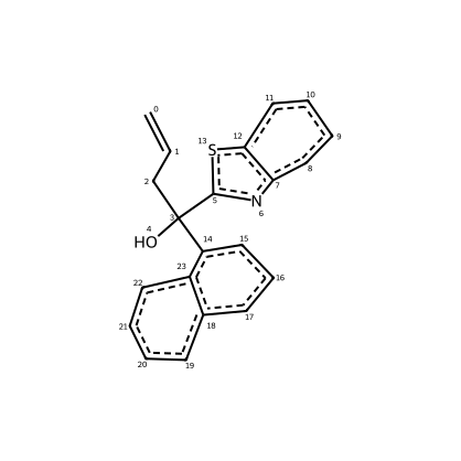 C=CCC(O)(c1nc2ccccc2s1)c1cccc2ccccc12